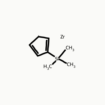 C[Si](C)(C)C1=C[CH]C=C1.[Zr]